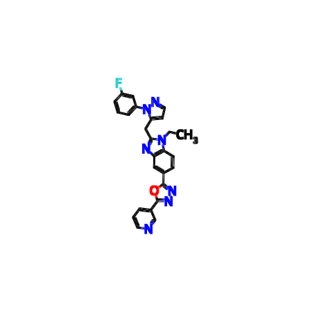 CCn1c(Cc2ccnn2-c2cccc(F)c2)nc2cc(-c3nnc(-c4cccnc4)o3)ccc21